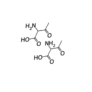 CC(=O)C(N)C(=O)O.CC(=O)C(N)C(=O)O